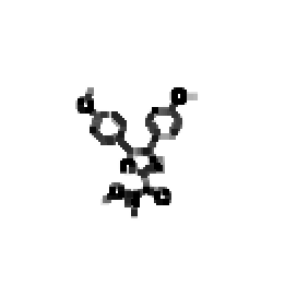 COc1ccc(-c2nc(C(=O)N(C)OC)oc2-c2ccc(OC)cc2)cc1